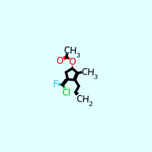 C=CCC1=C(C)[C@@H](OC(C)=O)CC1=C(F)Cl